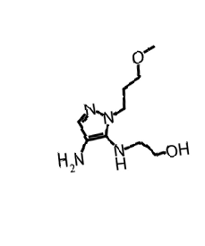 COCCCn1ncc(N)c1NCCO